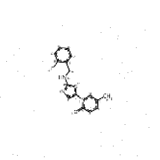 Cc1ccc(=O)n(-c2cnc(NCc3ccccc3F)s2)c1